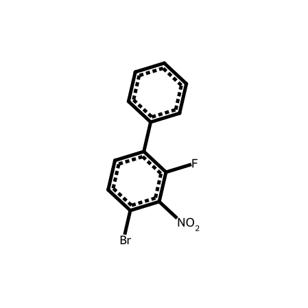 O=[N+]([O-])c1c(Br)ccc(-c2ccccc2)c1F